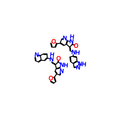 O=C1Nc2ncc(-c3ccco3)cc2C1=CNc1ccc2cn[nH]c2c1.O=C1Nc2ncc(-c3ccco3)cc2C1=CNc1ccc2ncccc2c1